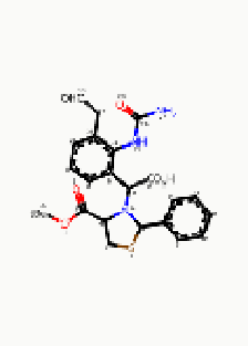 CC(C)(C)OC(=O)C1CSC(c2ccccc2)N1C(C(=O)O)c1cccc(CC=O)c1NC(N)=O